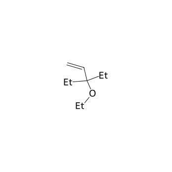 C=CC(CC)(CC)OCC